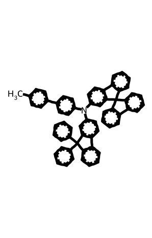 Cc1ccc(-c2ccc(N(c3ccc4c(c3)C(c3ccccc3)(c3ccccc3)c3ccccc3-4)c3ccc4c(c3)C3(c5ccccc5-c5ccccc53)c3ccccc3-4)cc2)cc1